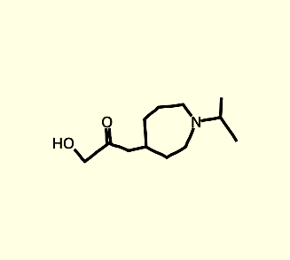 CC(C)N1CCCC(CC(=O)CO)CC1